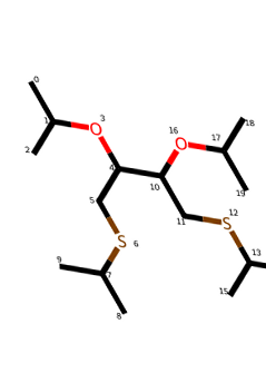 CC(C)OC(CSC(C)C)C(CSC(C)C)OC(C)C